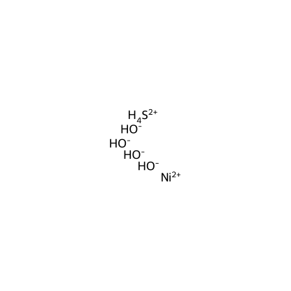 [Ni+2].[OH-].[OH-].[OH-].[OH-].[SH4+2]